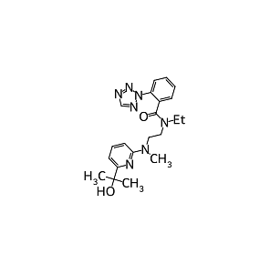 CCN(CCN(C)c1cccc(C(C)(C)O)n1)C(=O)c1ccccc1-n1ncnn1